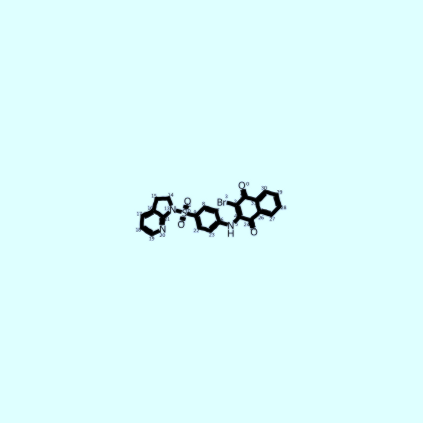 O=C1C(Br)=C(Nc2ccc(S(=O)(=O)N3CCc4cccnc43)cc2)C(=O)c2ccccc21